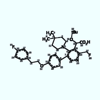 CC1(C)CCN(c2c(-c3ccc(OCCc4ccc(F)cc4)cc3)cnc(CF)c2C(OC(C)(C)C)C(=O)O)CC1